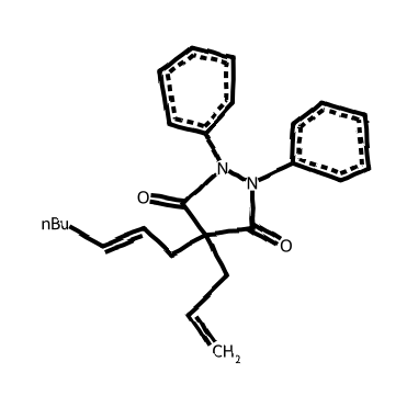 C=CCC1(CC=CCCCC)C(=O)N(c2ccccc2)N(c2ccccc2)C1=O